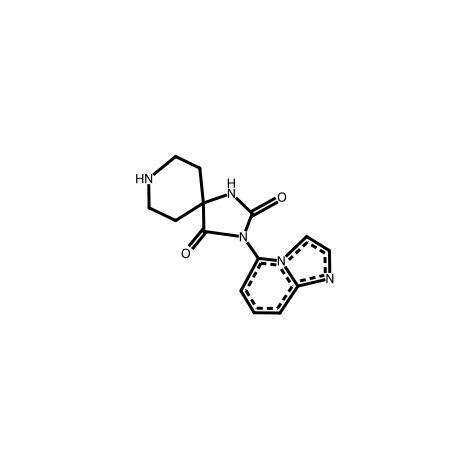 O=C1NC2(CCNCC2)C(=O)N1c1cccc2nccn12